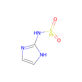 O=[SH](=O)Nc1ncc[nH]1